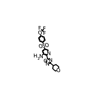 Nc1cc(S(=O)(=O)c2ccc(OC(F)(F)F)cc2)cnc1-c1nc(C2CCOCC2)no1